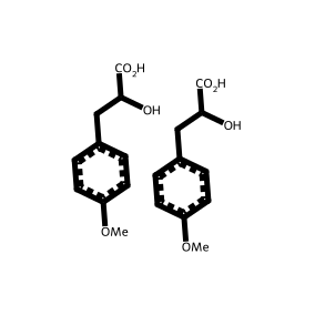 COc1ccc(CC(O)C(=O)O)cc1.COc1ccc(CC(O)C(=O)O)cc1